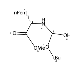 CCCCC[C@H](NC(O)OC(C)(C)C)C(=O)OC